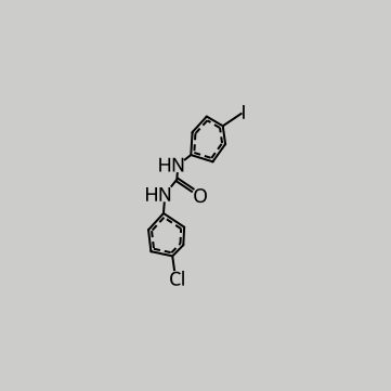 O=C(Nc1ccc(Cl)cc1)Nc1ccc(I)cc1